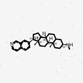 CN[C@H]1CC[C@@]2(C)C(CC[C@H]3[C@@H]4CC[C@H](c5ccc6ccncc6c5)[C@@]4(C)CC[C@@H]32)C1